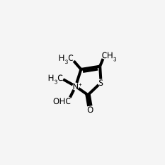 CC1=C(C)[N+](C)(C=O)C(=O)S1